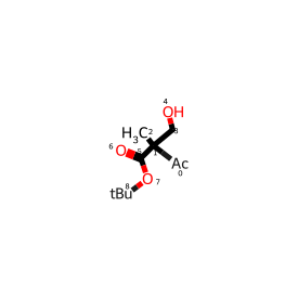 CC(=O)C(C)(CO)C(=O)OC(C)(C)C